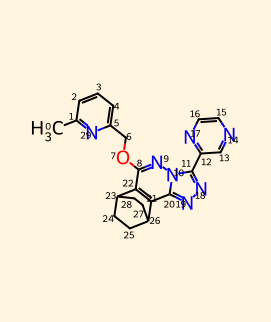 Cc1cccc(COc2nn3c(-c4cnccn4)nnc3c3c2C2CCC3CC2)n1